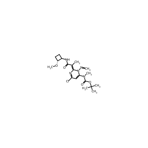 C=NN1C(N(C)C(=O)OC(C)(C)C)=CC(Cl)=N/C1=C(/C)C(=O)NC1CC[C@H]1OC